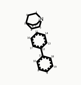 C1CN2CCC1CC2.c1ccc(-c2ccccc2)cc1